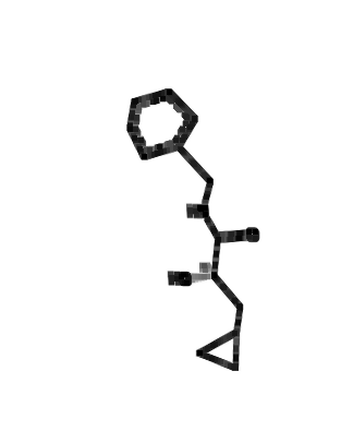 O=C(NCc1ccccc1)[C@@H](O)CC1CC1